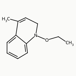 CCON1CC=C(C)c2ccccc21